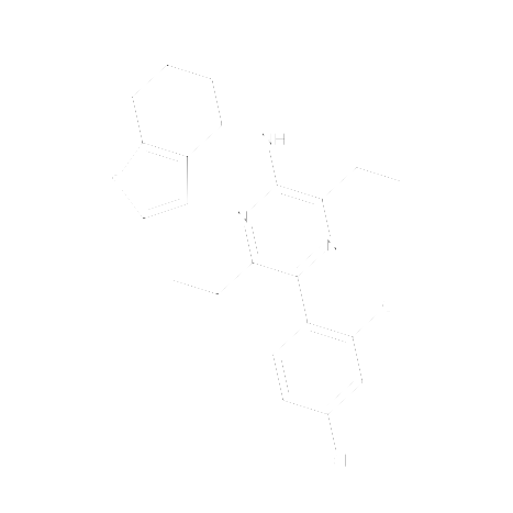 CCc1nc(-c2ccc(Cl)cc2Cl)c(CC)nc1N[C@@H]1c2ccsc2CC[C@@H]1C